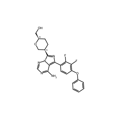 Nc1ncnn2c([C@@H]3CC[C@H](CO)OC3)nc(-c3ccc(Oc4ccccc4)c(F)c3F)c12